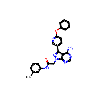 Nc1ncnc2c1c(-c1ccc(Oc3ccccc3)nc1)nn2CC(=O)Nc1cccc([N+](=O)[O-])c1